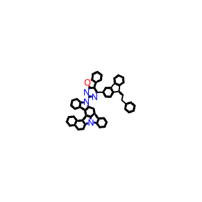 C(/Cc1ccccc1)=C1\c2ccccc2-c2cc(-c3nc(-n4c5ccccc5c5c6c7c8ccccc8ccc7n7c8ccccc8c(cc54)c67)nc4oc5ccccc5c34)ccc21